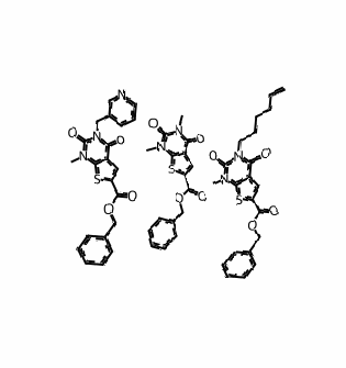 C=CCCCCn1c(=O)c2cc(C(=O)OCc3ccccc3)sc2n(C)c1=O.Cn1c(=O)c2cc(C(=O)OCc3ccccc3)sc2n(C)c1=O.Cn1c(=O)n(Cc2cccnc2)c(=O)c2cc(C(=O)OCc3ccccc3)sc21